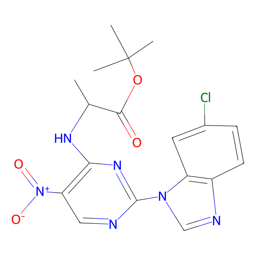 CC(Nc1nc(-n2cnc3ccc(Cl)cc32)ncc1[N+](=O)[O-])C(=O)OC(C)(C)C